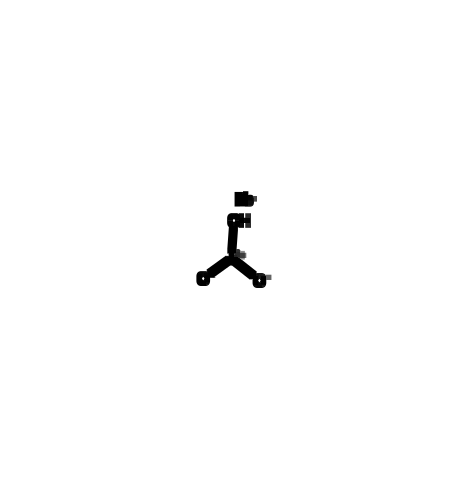 [O-][I+2]([O-])O.[Rb]